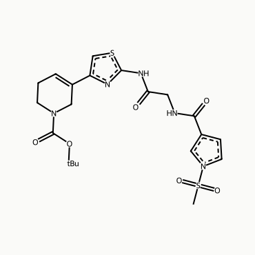 CC(C)(C)OC(=O)N1CCC=C(c2csc(NC(=O)CNC(=O)c3ccn(S(C)(=O)=O)c3)n2)C1